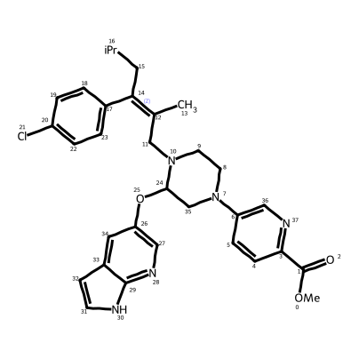 COC(=O)c1ccc(N2CCN(C/C(C)=C(/CC(C)C)c3ccc(Cl)cc3)C(Oc3cnc4[nH]ccc4c3)C2)cn1